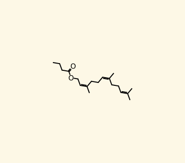 CCCC(=O)OCC=C(C)CCC=C(C)CCC=C(C)C